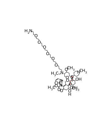 C/C=C\C#C[C@H](O[C@@H]1O[C@H](C)C[C@H](O)C1O[C@H]1C[C@H](OC)[C@@H](N(CC)CCCOCCOCCOCCOCCOCCOCCN)CO1)C1=C(NC(=O)OC)C(=O)C[C@](C)(O)/C1=C/CSSC1CCN(C)CC1